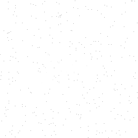 Nc1nc2c(C3OC(CO)C(O)C3O)cnn2c(=O)[nH]1